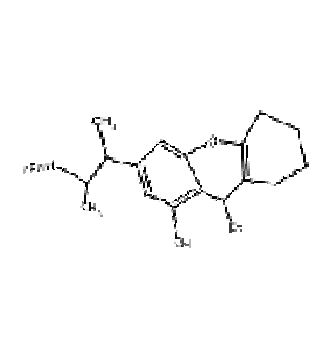 CCCCCC(C)C(C)c1cc(O)c2c(c1)OC1=C(CCCC1)C2CC